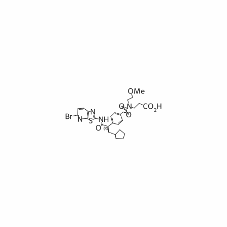 COCCN(CCC(=O)O)S(=O)(=O)c1ccc([C@@H](CC2CCCC2)C(=O)Nc2nc3ccc(Br)nc3s2)cc1